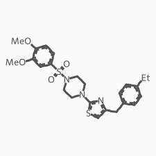 CCc1ccc(Cc2csc(N3CCN(S(=O)(=O)c4ccc(OC)c(OC)c4)CC3)n2)cc1